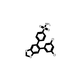 NS(=O)(=O)c1ccc(-c2cc3c(cc2-c2cc(Cl)cc(Cl)c2)OCO3)cc1